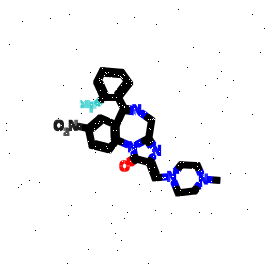 CN1CCN(/C=C2\N=C3CN=C(c4ccccc4[18F])c4cc([N+](=O)[O-])ccc4N3C2=O)CC1